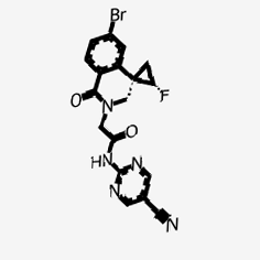 N#Cc1cnc(NC(=O)CN2C[C@@]3(C[C@@H]3F)c3cc(Br)ccc3C2=O)nc1